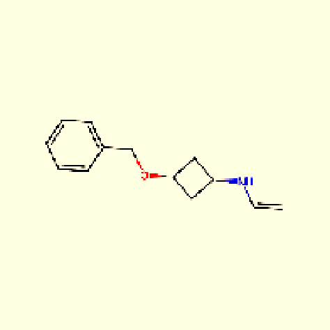 C=CN[C@H]1C[C@@H](OCc2ccccc2)C1